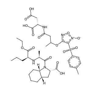 CCC[C@H](N[C@@H](C)C(=O)N1[C@H](C(=O)O)C[C@@H]2CCCC[C@@H]21)C(=O)OCC.Cc1ccc(S(=O)(=O)c2c(OC(C)CC(=O)N[C@@H](CC(=O)O)C(=O)O)no[n+]2[O-])cc1